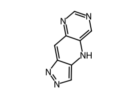 c1ncc2[nH]c3cnnc-3cc2n1